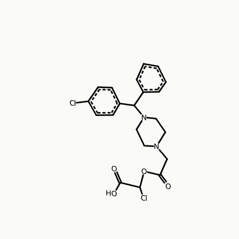 O=C(CN1CCN(C(c2ccccc2)c2ccc(Cl)cc2)CC1)OC(Cl)C(=O)O